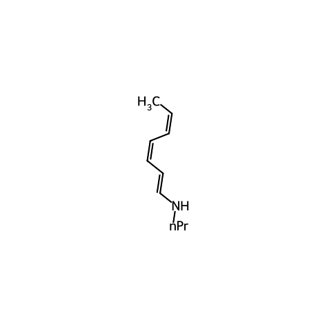 C\C=C/C=C\C=C\NCCC